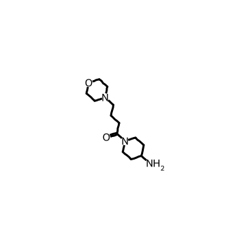 NC1CCN(C(=O)CCCN2CCOCC2)CC1